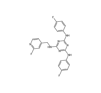 Fc1ccc(Nc2nc(NCc3ccnc(F)c3)nc(Nc3ccc(F)cc3)n2)cc1